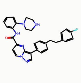 O=C(Nc1ccccc1N1CCNCC1)c1ccn2ncc(-c3ccc(CCc4ccc(F)cc4)cc3)c2n1